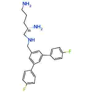 NCCC[C@H](N)CNCc1cc(-c2ccc(F)cc2)cc(-c2ccc(F)cc2)c1